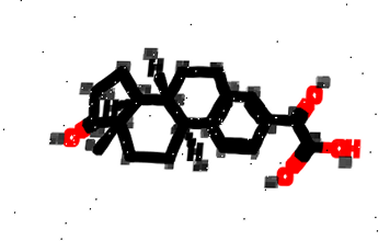 C[C@]12CC[C@@H]3c4ccc(C(=O)C(=O)O)cc4CC[C@H]3[C@@H]1CCC2=O